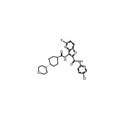 O=C(Nc1ccc(Cl)cn1)c1oc2ccc(F)nc2c1NC(=O)[C@H]1CC[C@H](N2CCOCC2)CC1